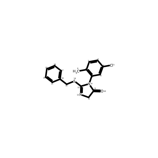 Cc1ccc(Cl)cc1N1C(=O)CN=C1SCc1ccccc1